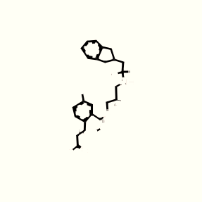 CC[C@@H](OC[C@H](O)CNC(C)(C)CC1Cc2ccccc2C1)c1cc(F)ccc1CCC(C)=O